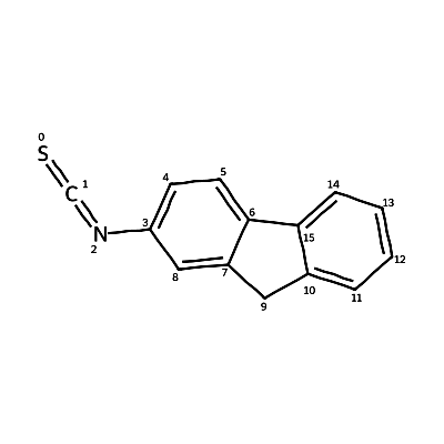 S=C=Nc1ccc2c(c1)Cc1ccccc1-2